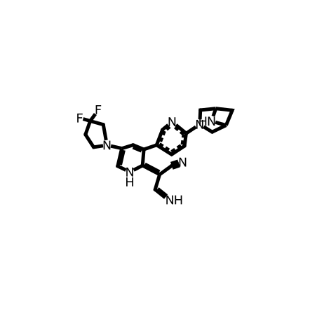 N#C/C(C=N)=C1/NC=C(N2CCC(F)(F)C2)C=C1c1ccc(N2CC3CC(C2)N3)nc1